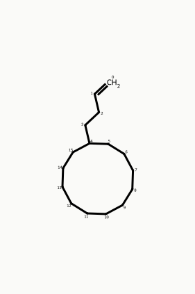 C=CCCC1CCCCCCCCCCC1